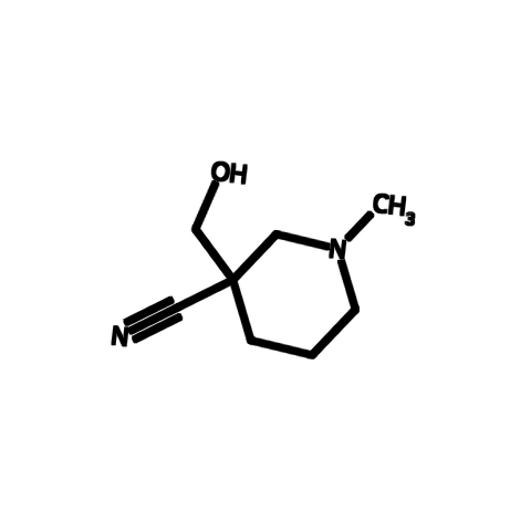 CN1CCCC(C#N)(CO)C1